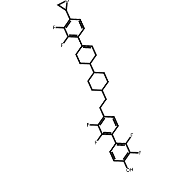 Oc1ccc(-c2ccc(CCC3CCC(C4CC=C(c5ccc(C6CO6)c(F)c5F)CC4)CC3)c(F)c2F)c(F)c1F